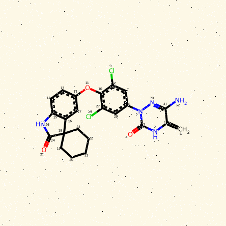 C=C1NC(=O)N(c2cc(Cl)c(Oc3ccc4c(c3)C3(CCCCC3)C(=O)N4)c(Cl)c2)N=C1N